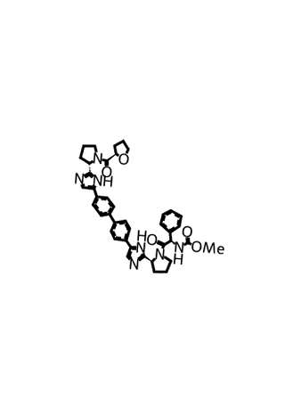 COC(=O)N[C@@H](C(=O)N1CCC[C@H]1c1ncc(-c2ccc(-c3ccc(-c4cnc([C@@H]5CCCN5C(=O)[C@H]5CCCO5)[nH]4)cc3)cc2)[nH]1)c1ccccc1